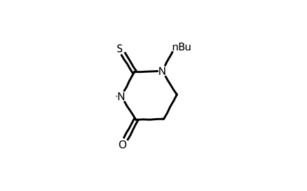 CCCCN1CCC(=O)[N]C1=S